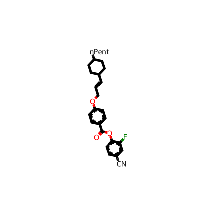 CCCCCC1CCC(C=CCOc2ccc(C(=O)Oc3ccc(C#N)cc3F)cc2)CC1